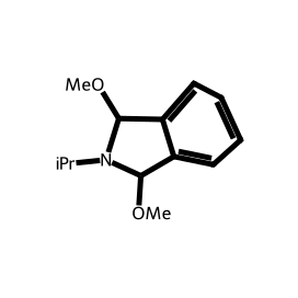 COC1c2ccccc2C(OC)N1C(C)C